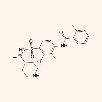 Cc1ccccc1C(=O)Nc1ccc(S(=O)(=O)N[C@H](C)C2CCNCC2)c(Cl)c1C